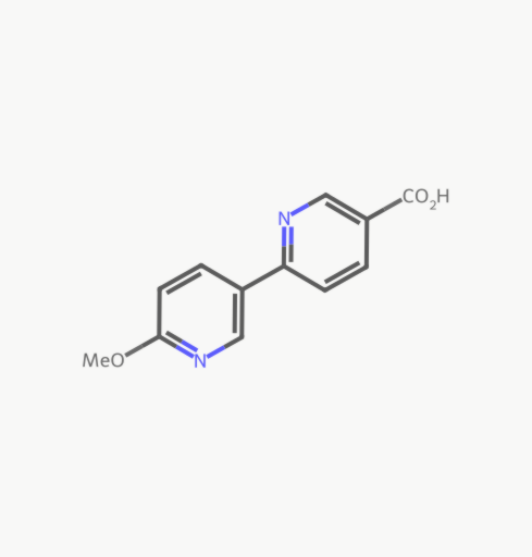 COc1ccc(-c2ccc(C(=O)O)cn2)cn1